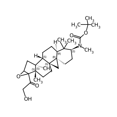 CN(C(=O)OC(C)(C)C)[C@H]1CC[C@]23C[C@]24CC[C@]2(C)C5(C(=O)CO)OC5C[C@@]2(C)[C@@H]4CC[C@H]3C1(C)C